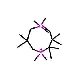 CC1(C)CP(C)(C)=CC(C)(C)C(C)(C)[PH](C)(C)C1